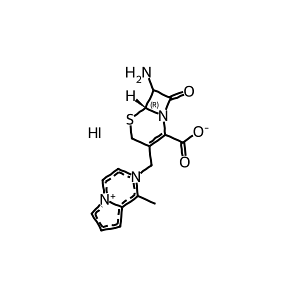 Cc1c2ccc[n+]-2ccn1CC1=C(C(=O)[O-])N2C(=O)C(N)[C@H]2SC1.I